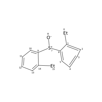 CCc1ccccc1[S+]([O-])c1ccccc1CC